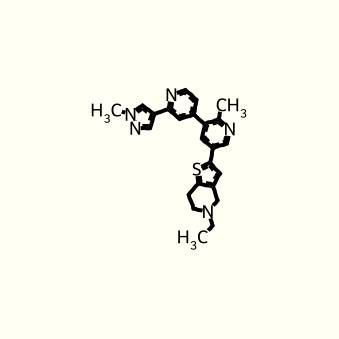 CCN1CCc2sc(-c3cnc(C)c(-c4ccnc(-c5cnn(C)c5)c4)c3)cc2C1